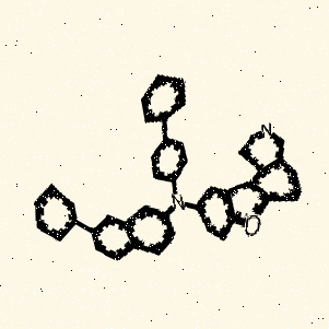 c1ccc(-c2ccc(N(c3ccc4ccc(-c5ccccc5)cc4c3)c3ccc4oc5ccc6cnccc6c5c4c3)cc2)cc1